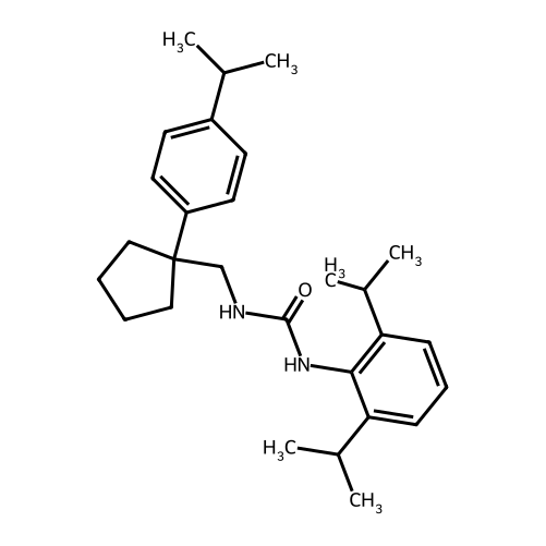 CC(C)c1ccc(C2(CNC(=O)Nc3c(C(C)C)cccc3C(C)C)CCCC2)cc1